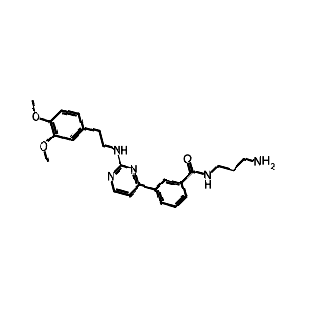 COc1ccc(CCNc2nccc(-c3cccc(C(=O)NCCCN)c3)n2)cc1OC